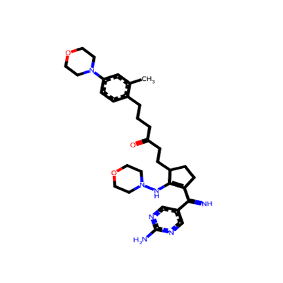 Cc1cc(N2CCOCC2)ccc1CCCC(=O)CCC1CCC(C(=N)c2cnc(N)nc2)=C1NN1CCOCC1